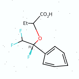 CCC(O[C@](F)(c1ccccc1)C(F)F)C(=O)O